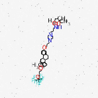 CC(C)(C)OC(=O)NCCCN1CCN(CCCOc2ccc3c(c2)CCC2C3CC[C@@]3(C)C2CC[C@@H]3OCCCOC(C(F)(F)F)(C(F)(F)F)C(F)(F)F)CC1